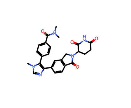 CN(C)C(=O)c1ccc(-c2c(-c3ccc4c(c3)CN(C3CCC(=O)NC3=O)C4=O)ncn2C)cc1